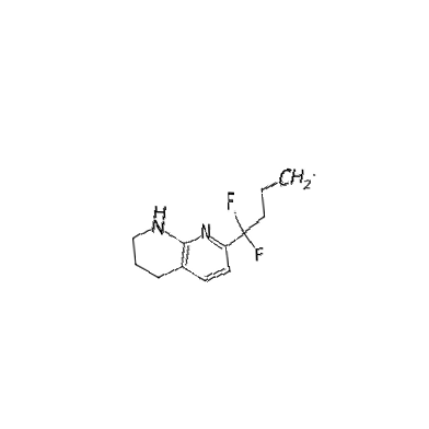 [CH2]CCC(F)(F)c1ccc2c(n1)NCCC2